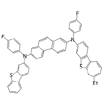 CCC1=CC=Cc2c(sc3cc(N(c4ccc(F)cc4)c4ccc5c(ccc6cc(N(c7ccc(F)cc7)c7ccc8c(c7)sc7ccccc78)ccc65)c4)ccc23)C1